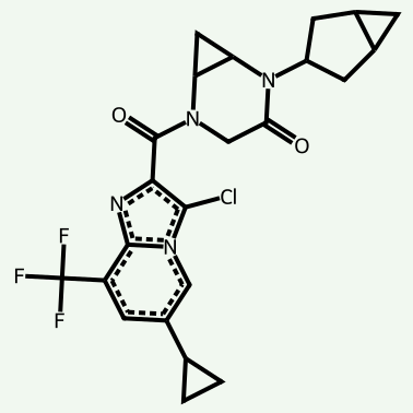 O=C(c1nc2c(C(F)(F)F)cc(C3CC3)cn2c1Cl)N1CC(=O)N(C2CC3CC3C2)C2CC21